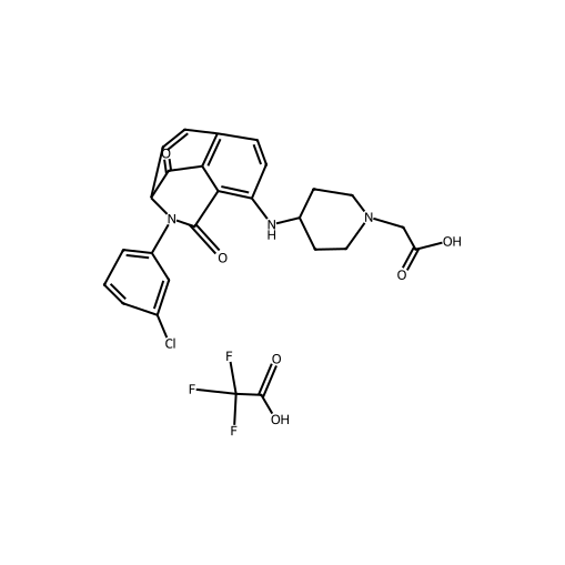 O=C(O)C(F)(F)F.O=C(O)CN1CCC(Nc2ccc3c4c2C(=O)N(c2cccc(Cl)c2)C(C=C3)C4=O)CC1